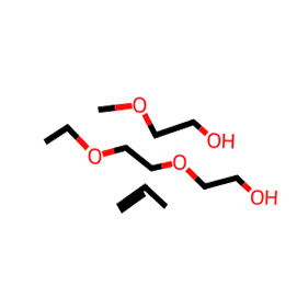 C=CC.CCOCCOCCO.COCCO